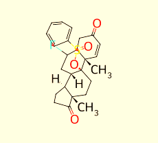 C[C@]12C=CC(=O)CC1C(F)C[C@H]1[C@@H]3CCC(=O)[C@@]3(C)CC[C@]12OS(=O)c1ccccc1